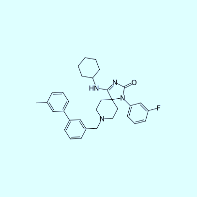 Cc1cccc(-c2cccc(CN3CCC4(CC3)C(NC3CCCCC3)=NC(=O)N4c3cccc(F)c3)c2)c1